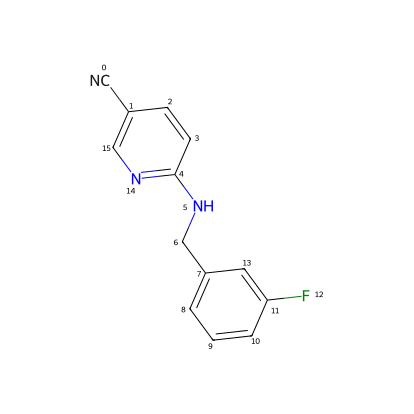 N#Cc1ccc(NCc2cccc(F)c2)nc1